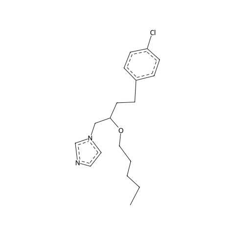 CCCCCOC(CCc1ccc(Cl)cc1)Cn1ccnc1